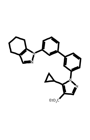 CCOC(=O)c1cnn(-c2cccc(-c3cccc(-n4ncc5c4CCCC5)c3)c2)c1C1CC1